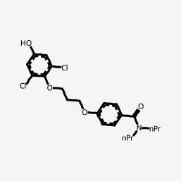 CCCN(CCC)C(=O)c1ccc(OCCCOc2c(Cl)cc(O)cc2Cl)cc1